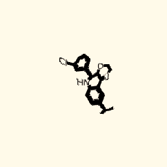 CC(C)c1ccc2c(c1)C1OCCOC1C(c1cccc(Cl)c1)N2